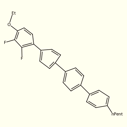 CCCCCc1ccc(-c2ccc(-c3ccc(-c4ccc(OCC)c(F)c4F)cc3)cc2)cc1